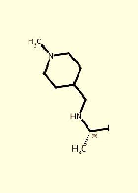 C[C@@H](I)NCC1CCN(C)CC1